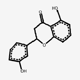 O=C1CC(c2cccc(O)c2)Oc2cccc(O)c21